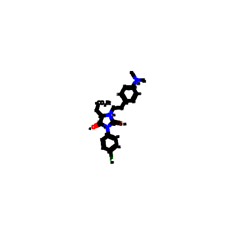 CCOC(=O)CC1C(=O)N(c2ccc(F)cc2)C(=S)N1CCc1ccc(N(C)C)cc1